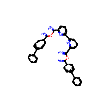 N=C(OC(=N)c1cccc(-c2cccc(C(=N)OC(=N)c3ccc(-c4ccccc4)cc3)n2)n1)c1ccc(-c2ccccc2)cc1